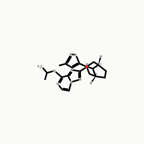 Cc1cc(N2C[C@H]3CC[C@@H](C2)C3Nc2nc3c(OC(C)C(F)(F)F)nccn3n2)sn1